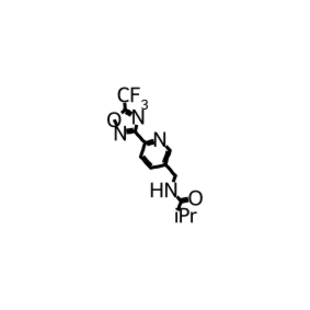 CC(C)C(=O)NCc1ccc(-c2noc(C(F)(F)F)n2)nc1